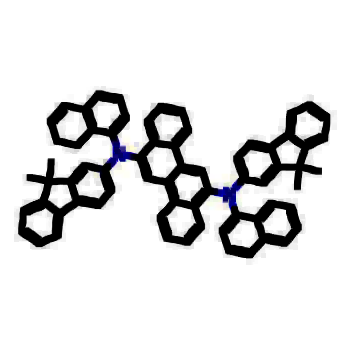 CC1(C)c2ccccc2-c2ccc(N(c3cccc4c3CCC=C4)c3cc4c5ccccc5c(N(c5ccc6c(c5)C(C)(C)c5ccccc5-6)c5cccc6ccccc56)cc4c4ccccc34)cc21